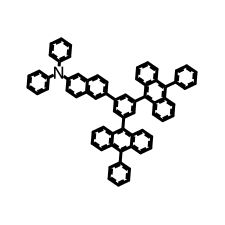 c1ccc(-c2c3ccccc3c(-c3cc(-c4ccc5cc(N(c6ccccc6)c6ccccc6)ccc5c4)cc(-c4c5ccccc5c(-c5ccccc5)c5ccccc45)c3)c3ccccc23)cc1